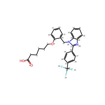 O=C(O)CCCCCOc1ccccc1Cn1c(-c2ccc(C(F)(F)F)cc2)nc2ccccc21